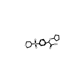 O=C(O)C(OC1CCCC1)c1ccc(S(=O)(=O)C2CCOCC2)cc1